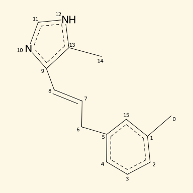 Cc1cccc(CC=Cc2nc[nH]c2C)c1